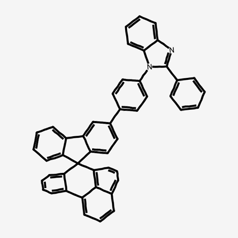 c1ccc(-c2nc3ccccc3n2-c2ccc(-c3ccc4c(c3)-c3ccccc3C43c4ccccc4-c4cccc5cccc3c45)cc2)cc1